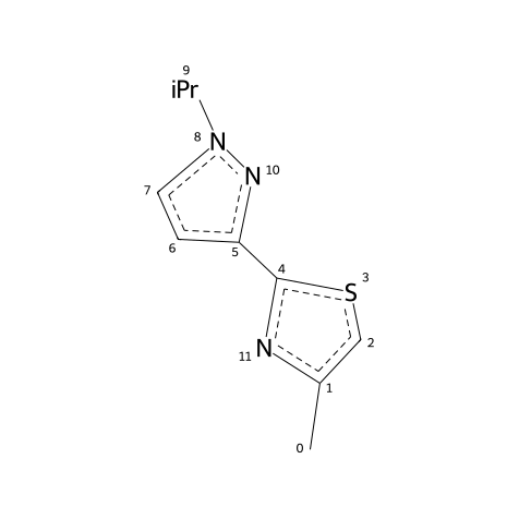 Cc1csc(-c2ccn(C(C)C)n2)n1